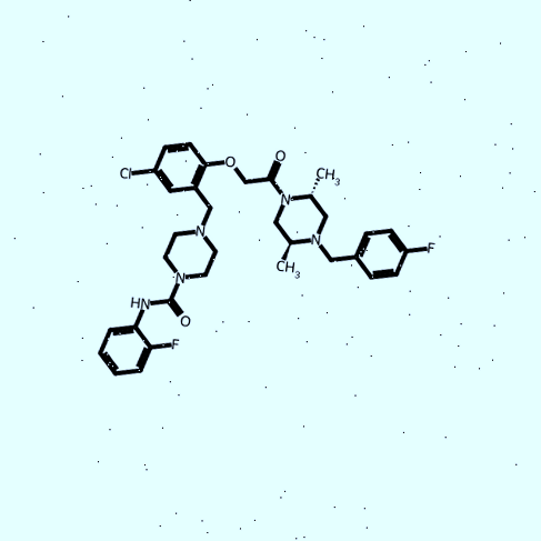 C[C@@H]1CN(Cc2ccc(F)cc2)[C@@H](C)CN1C(=O)COc1ccc(Cl)cc1CN1CCN(C(=O)Nc2ccccc2F)CC1